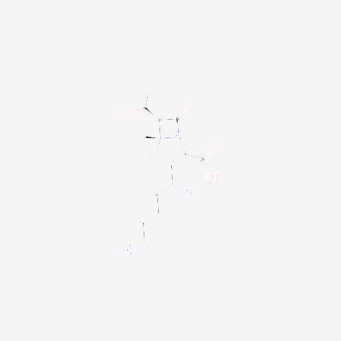 CC(O)[C@H]1C(=O)N2C(C(=O)O)=C([C@H](N)CCCCN)S[C@H]12